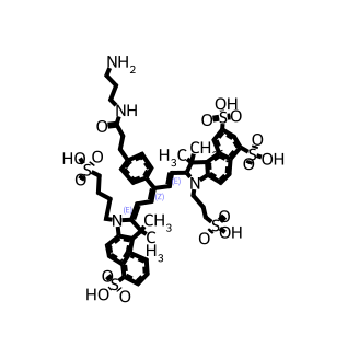 CC1(C)\C(=C/C=C(/C=C/C2N(CCCS(=O)(=O)O)c3ccc4c(S(=O)(=O)O)cc(S(=O)(=O)O)cc4c3C2(C)C)c2ccc(CCC(=O)NCCCN)cc2)N(CCCCS(=O)(=O)O)c2ccc3c(S(=O)(=O)O)cccc3c21